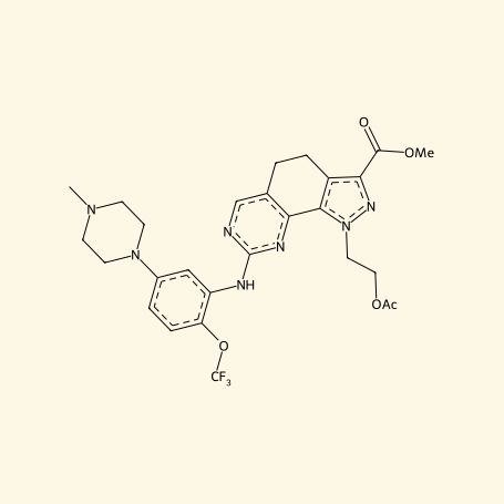 COC(=O)c1nn(CCOC(C)=O)c2c1CCc1cnc(Nc3cc(N4CCN(C)CC4)ccc3OC(F)(F)F)nc1-2